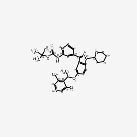 C[C@@H](Oc1ccc2c(c1)c(-c1ccnc(NC(=O)OC(C)(C)C)c1)nn2C1CCCCO1)c1c(Cl)cncc1Cl